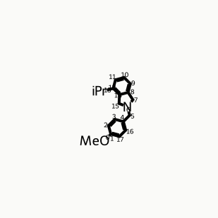 COc1ccc(CN2Cc3cccc(C(C)C)c3C2)cc1